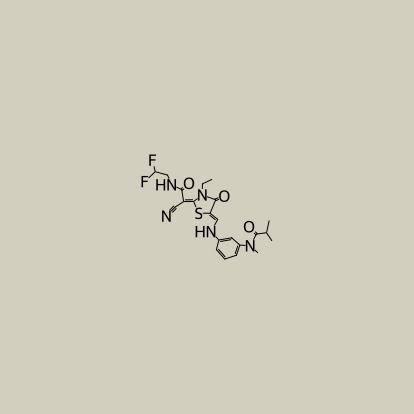 CCn1c(=C(C#N)C(=O)NCC(F)F)sc(=CNc2cccc(N(C)C(=O)C(C)C)c2)c1=O